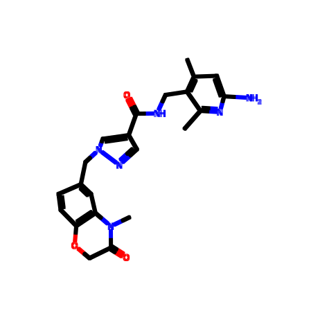 Cc1cc(N)nc(C)c1CNC(=O)c1cnn(Cc2ccc3c(c2)N(C)C(=O)CO3)c1